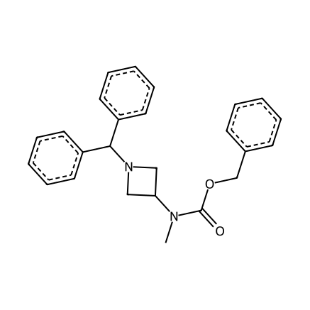 CN(C(=O)OCc1ccccc1)C1CN(C(c2ccccc2)c2ccccc2)C1